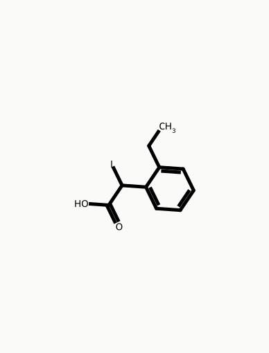 CCc1ccccc1C(I)C(=O)O